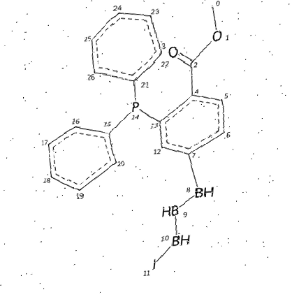 COC(=O)c1ccc(BBBI)cc1P(c1ccccc1)c1ccccc1